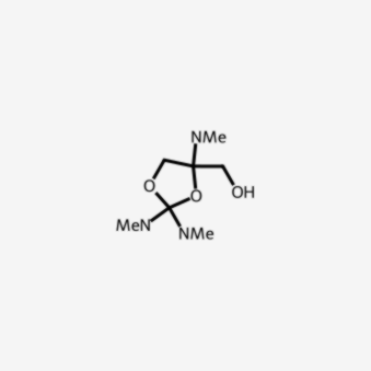 CNC1(CO)COC(NC)(NC)O1